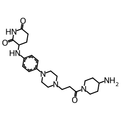 NC1CCN(C(=O)CCN2CCN(c3ccc(NC4CCC(=O)NC4=O)cc3)CC2)CC1